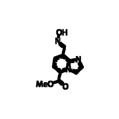 COC(=O)c1ccc(/C=N/O)c2nccn12